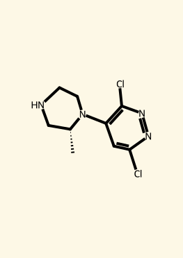 C[C@@H]1CNCCN1c1cc(Cl)nnc1Cl